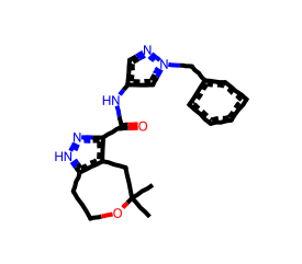 CC1(C)Cc2c(C(=O)Nc3cnn(Cc4ccccc4)c3)n[nH]c2CCO1